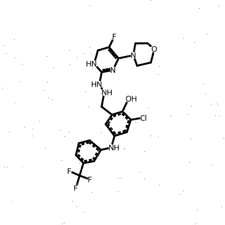 Oc1c(Cl)cc(Nc2cccc(C(F)(F)F)c2)cc1CNNC1=NC(N2CCOCC2)=C(F)CN1